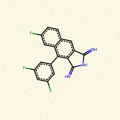 N=C1NC(=N)c2c1cc1ccc(F)cc1c2-c1cc(F)cc(F)c1